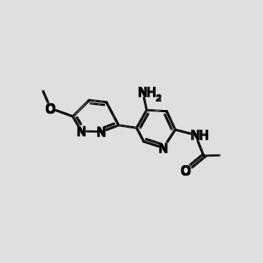 COc1ccc(-c2cnc(NC(C)=O)cc2N)nn1